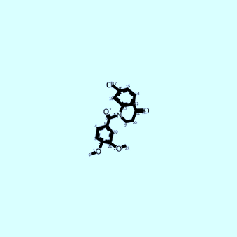 COc1ccc(C(=O)N2CCC(=O)c3ccc(Cl)cc32)cc1OC